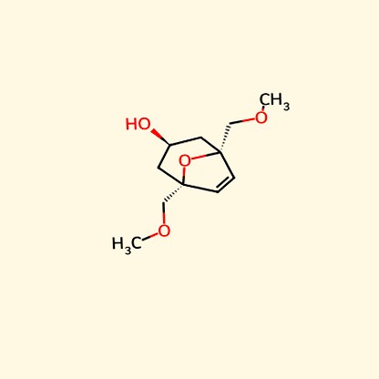 COC[C@@]12C=C[C@@](COC)(C[C@@H](O)C1)O2